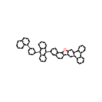 c1cc(-c2cccc3ccccc23)cc(-c2c3ccccc3c(-c3ccc4c(ccc5c6cc7c8ccccc8c8ccccc8c7cc6oc45)c3)c3ccccc23)c1